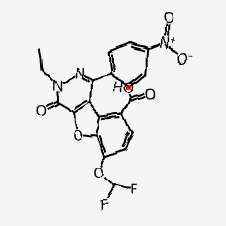 CCn1nc(-c2ccc([N+](=O)[O-])cc2)c2c(oc3c(OC(F)F)ccc(C(=O)O)c32)c1=O